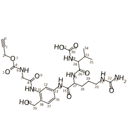 C#CCOC(=O)NCC(=O)Nc1cc(NC(=O)C(CCCNC(N)=O)NC(=O)C(NC(=O)O)C(C)C)ccc1CO